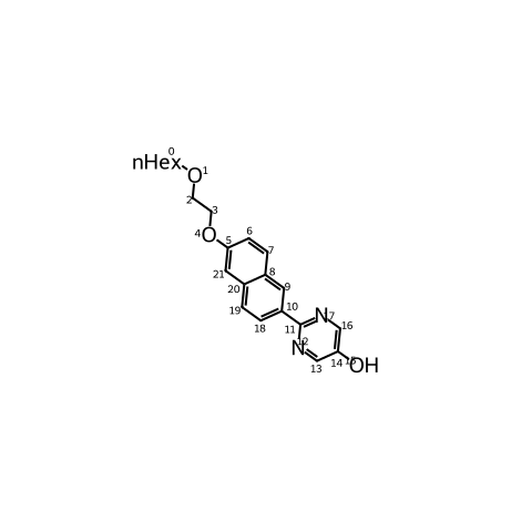 CCCCCCOCCOc1ccc2cc(-c3ncc(O)cn3)ccc2c1